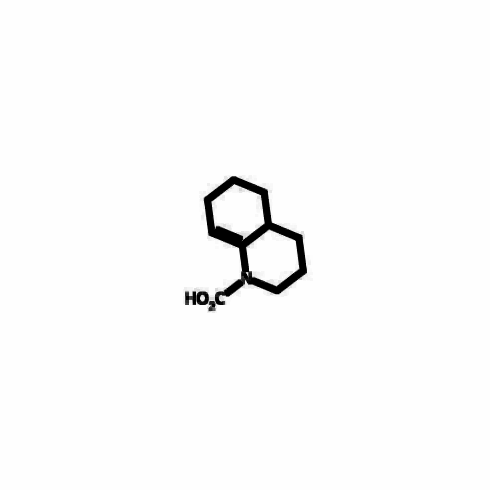 O=C(O)N1CCCC2CCCC=C21